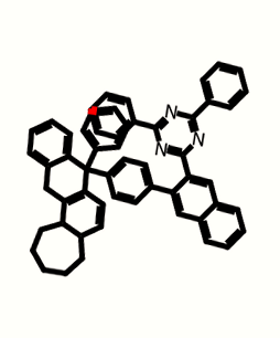 C1=CC2CCCCCC2C2=C1C(c1ccccc1)(c1ccc(-c3cc4ccccc4cc3-c3nc(-c4ccccc4)nc(-c4ccccc4)n3)cc1)c1ccccc1C2